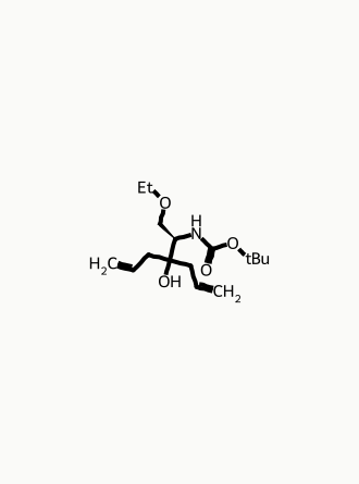 C=CCC(O)(CC=C)[C@@H](COCC)NC(=O)OC(C)(C)C